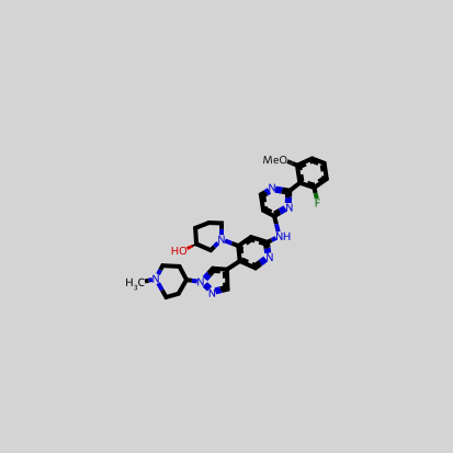 COc1cccc(F)c1-c1nccc(Nc2cc(N3CCC[C@H](O)C3)c(-c3cnn(C4CCN(C)CC4)c3)cn2)n1